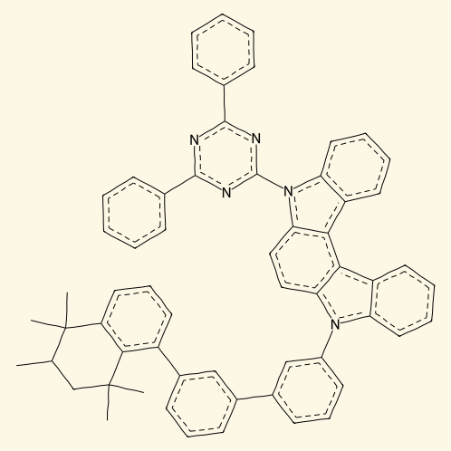 CC1CC(C)(C)c2c(-c3cccc(-c4cccc(-n5c6ccccc6c6c7c8ccccc8n(-c8nc(-c9ccccc9)nc(-c9ccccc9)n8)c7ccc65)c4)c3)cccc2C1(C)C